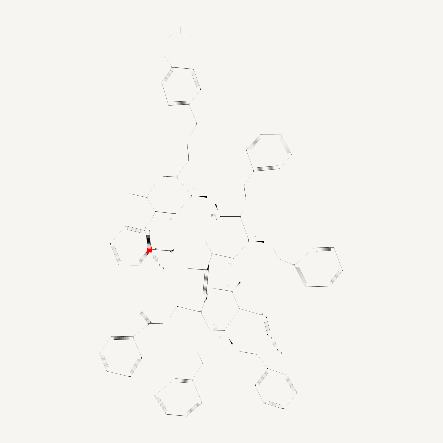 COC(=O)C1O[C@@H](O[C@@H]2C(COCc3ccc(OC)cc3)OC(O)C(N=[N+]=[N-])[C@H]2OC(=O)c2ccccc2)C(OCc2ccccc2)[C@@H](OCc2ccccc2)[C@@H]1O[C@@H]1OC(COC(=O)c2ccccc2)[C@@H](OCc2ccccc2)[C@H](OCc2ccccc2)C1N=[N+]=[N-]